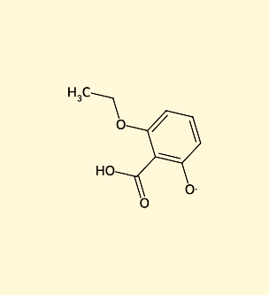 CCOc1cccc([O])c1C(=O)O